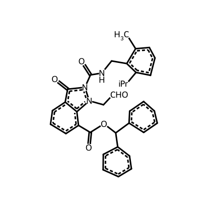 Cc1cccc(C(C)C)c1CNC(=O)n1c(=O)c2cccc(C(=O)OC(c3ccccc3)c3ccccc3)c2n1CC=O